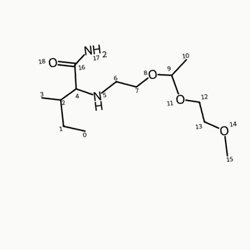 CCC(C)C(NCCOC(C)OCCOC)C(N)=O